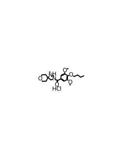 CCCCOc1c(OC)cc(C(=O)NCC2(N(C)C)CCOCC2)cc1OC.Cl